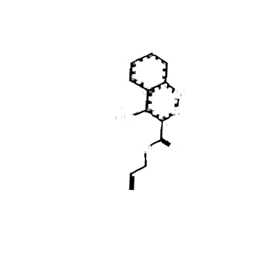 C=CCOC(=O)c1nnc2ccccc2c1O